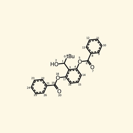 CC(C)(C)C(O)c1c(OC(=O)c2ccccc2)cccc1OC(=O)c1ccccc1